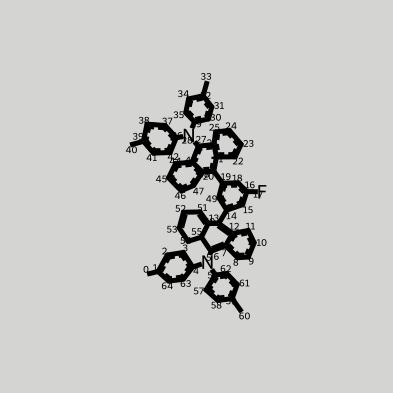 Cc1ccc(N(C2=c3ccccc3=C(c3cc(F)cc(-c4c5ccccc5c(N(c5ccc(C)cc5)c5ccc(C)cc5)c5ccccc45)c3)C3=CC=CCC32)c2ccc(C)cc2)cc1